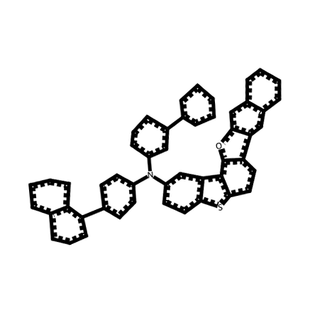 c1ccc(-c2cccc(N(c3ccc(-c4cccc5ccccc45)cc3)c3ccc4sc5ccc6c7cc8ccccc8cc7oc6c5c4c3)c2)cc1